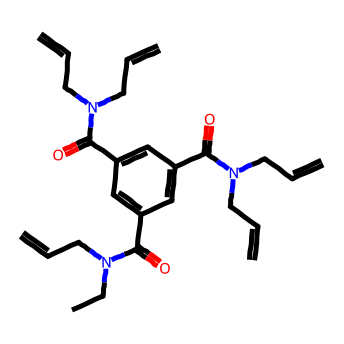 C=CCN(CC)C(=O)c1cc(C(=O)N(CC=C)CC=C)cc(C(=O)N(CC=C)CC=C)c1